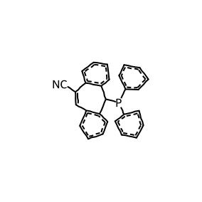 N#CC1=Cc2ccccc2C(P(c2ccccc2)c2ccccc2)c2ccccc21